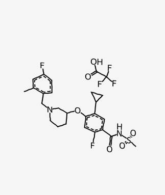 Cc1cc(F)ccc1CN1CCCC(Oc2cc(F)c(C(=O)NS(C)(=O)=O)cc2C2CC2)C1.O=C(O)C(F)(F)F